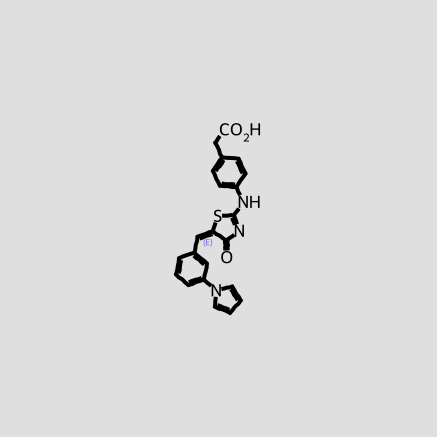 O=C(O)Cc1ccc(NC2=NC(=O)/C(=C\c3cccc(-n4cccc4)c3)S2)cc1